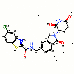 O=C1CCC(N2Cc3cc(CNC(=O)c4nc5cc(Cl)ccc5s4)ccc3C2=O)C(=O)N1